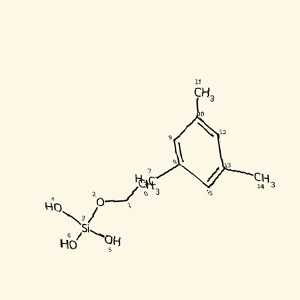 CCO[Si](O)(O)O.Cc1cc(C)cc(C)c1